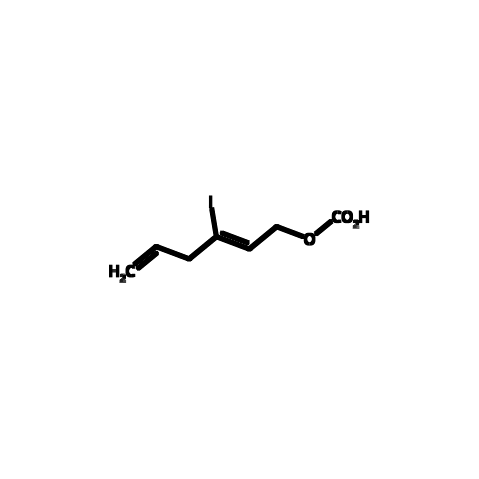 C=CCC(I)=CCOC(=O)O